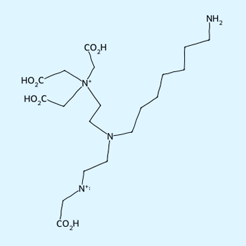 NCCCCCCCN(CC[N+]CC(=O)O)CC[N+](CC(=O)O)(CC(=O)O)CC(=O)O